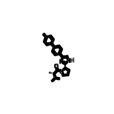 Cc1ccc(-c2ccc(-c3c[nH]c([C@@H]4CCCN4C(=O)[C@@H](C)C(C)C)n3)cc2)cc1